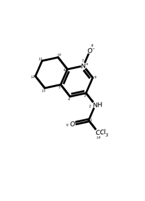 O=C(Nc1cc2c([n+]([O-])c1)CCCC2)C(Cl)(Cl)Cl